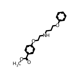 COC(=O)c1ccc(OCCNCCCOc2ccccc2)cc1